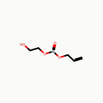 C=CCO[Si](=O)OCCO